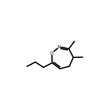 CCCC1=CCC(C)C(C)=NO1